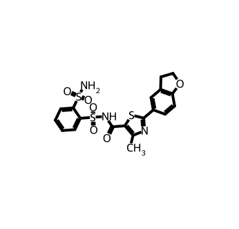 Cc1nc(-c2ccc3c(c2)CCO3)sc1C(=O)NS(=O)(=O)c1ccccc1S(N)(=O)=O